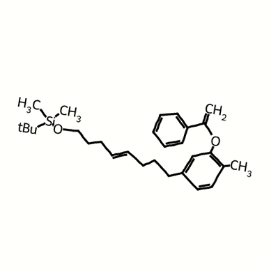 C=C(Oc1cc(CCC/C=C/CCCO[Si](C)(C)C(C)(C)C)ccc1C)c1ccccc1